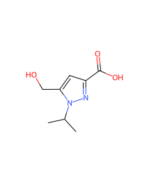 CC(C)n1nc(C(=O)O)cc1CO